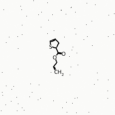 C=CCOC(=O)C1CC=CS1